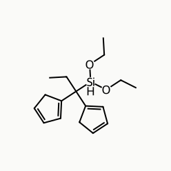 CCO[SiH](OCC)C(CC)(C1=CC=CC1)C1=CC=CC1